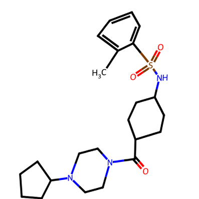 Cc1ccccc1S(=O)(=O)NC1CCC(C(=O)N2CCN(C3CCCC3)CC2)CC1